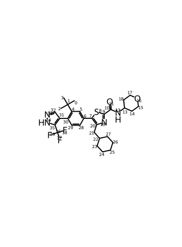 CC(C)(C)c1cc(-c2sc(C(=O)NC3CCOCC3)nc2CC2CCCCC2)ccc1-c1cn[nH]c1C(F)(F)F